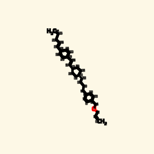 C=CCOCc1ccc(CCCC[C@H]2CC[C@H](C=Cc3ccc(C=CCCC)cc3)CC2)cc1